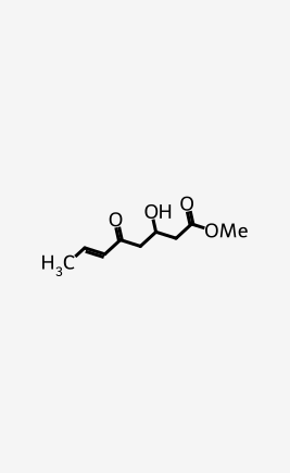 C/C=C/C(=O)CC(O)CC(=O)OC